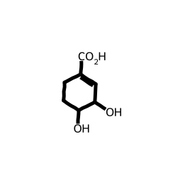 O=C(O)C1=CC(O)C(O)CC1